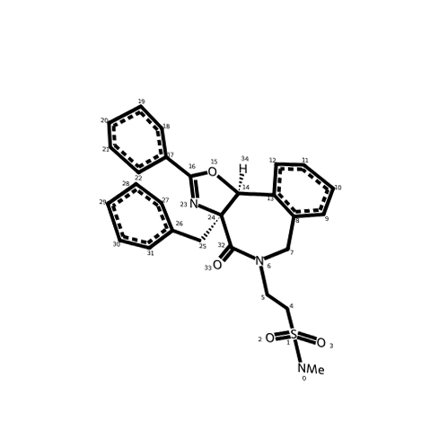 CNS(=O)(=O)CCN1Cc2ccccc2[C@@H]2OC(c3ccccc3)=N[C@]2(Cc2ccccc2)C1=O